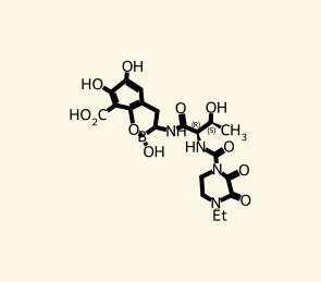 CCN1CCN(C(=O)N[C@@H](C(=O)NC2Cc3cc(O)c(O)c(C(=O)O)c3OB2O)[C@H](C)O)C(=O)C1=O